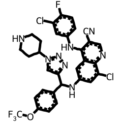 N#Cc1cnc2c(Cl)cc(NC(c3ccc(OC(F)(F)F)cc3)c3cn(C4CCNCC4)nn3)cc2c1Nc1ccc(F)c(Cl)c1